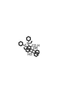 C=C[Si](C)(c1ccccc1)c1ccc(C(O)(c2ccccc2)C(O)(c2ccccc2)c2ccccc2)c(C(=O)O)c1[Si](C)(C=C)c1ccccc1